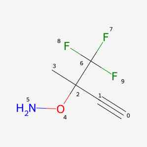 C#CC(C)(ON)C(F)(F)F